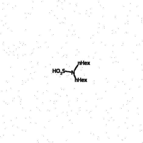 CCCCCCN(CCCCCC)S(=O)(=O)O